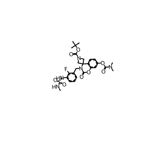 CNS(=O)(=O)Nc1cccc(CN2C(=O)Oc3cc(OC(=O)N(C)C)ccc3C23CN(C(=O)OC(C)(C)C)C3)c1F